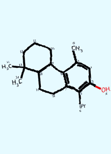 Cc1cc(O)c(C(C)C)c2c1C1CCCC(C)(C)C1CC2